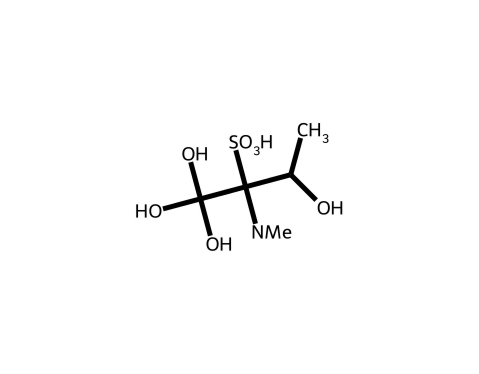 CNC(C(C)O)(C(O)(O)O)S(=O)(=O)O